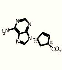 Nc1ncnc2c1ncn2[C@@H]1C=C[C@@H](C(=O)O)C1